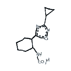 O=C(O)NC1CCCCC1c1nc(C2CC2)no1